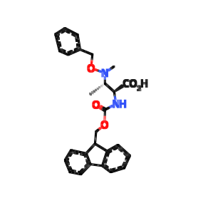 C[C@@H]([C@H](NC(=O)OCC1c2ccccc2-c2ccccc21)C(=O)O)N(C)OCc1ccccc1